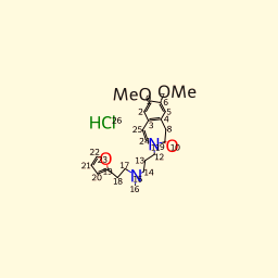 COc1cc2c(cc1OC)CC(=O)N(CCCN(C)CCc1ccco1)C=C2.Cl